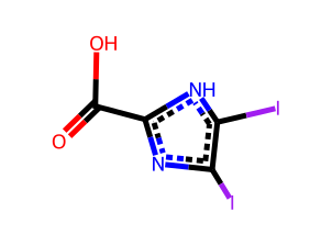 O=C(O)c1nc(I)c(I)[nH]1